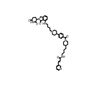 O=C(/C=C/c1cccnc1)NCCCCC1CCN(C(=O)c2ccc(C3CCN(CCCCNc4cccc5c4C(=O)N(C4CCC(=O)NC4=O)C5)CC3)cc2)CC1